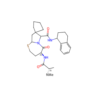 CN[C@@H](C)C(=O)N[C@H]1CCSC2CC3(CCCC3)C(C(=O)NC3CCCc4ccccc43)N2C1=O